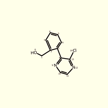 OCc1ccccc1-c1nccnc1Cl